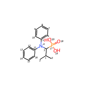 CC(C)C(N(c1ccccc1)c1ccccc1)P(=O)(O)O